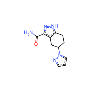 NC(=O)c1n[nH]c2c1CC(n1cccn1)CC2